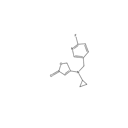 O=C1C=C(N(Cc2ccc(F)nc2)C2CC2)CO1